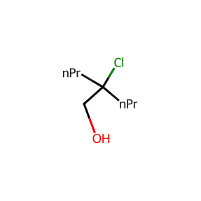 CCCC(Cl)(CO)CCC